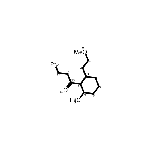 COCCC1CCCC(C)C1C(=O)CCC(C)C